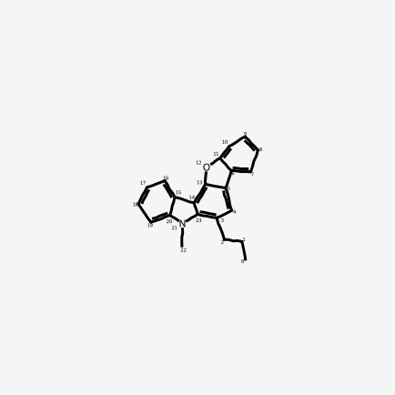 CCCc1cc2c3ccccc3oc2c2c3ccccc3n(C)c12